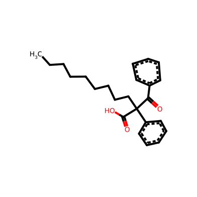 CCCCCCCCCC(C(=O)O)(C(=O)c1ccccc1)c1ccccc1